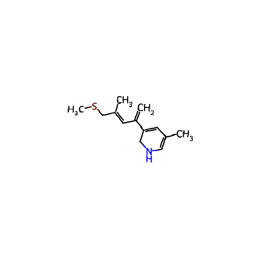 C=C(/C=C(\C)CSC)C1=CC(C)=CNC1